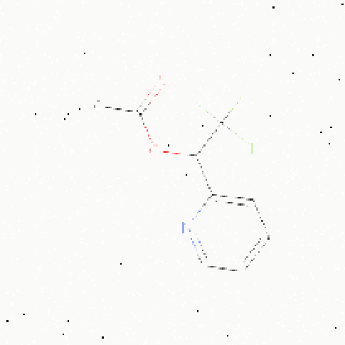 CC(=O)OC(c1ccccn1)C(F)(F)F